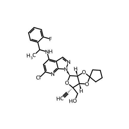 C#C[C@]1(CO)O[C@@H](n2ncc3c(NC(C)c4ccccc4F)cc(Cl)nc32)[C@@H]2OC3(CCCC3)O[C@@H]21